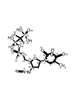 Cc1cn([C@H]2C[C@@H](N=[N+]=[N-])[C@@H](COP(=O)(F)OP(=O)(O)C(F)(F)P(=O)(O)O)O2)c(=O)[nH]c1=O